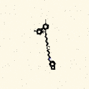 Ic1ccc2c(c1)c1cc(I)ccc1n2CCCCCCOCCC/C=C/c1ccc2c(c1)CC2